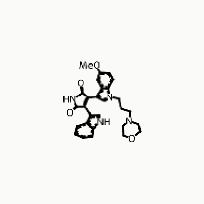 COc1ccc2c(c1)c(C1=C(c3c[nH]c4ccccc34)C(=O)NC1=O)cn2CCCN1CCOCC1